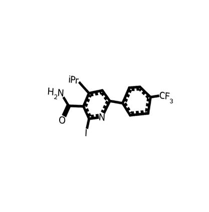 CC(C)c1cc(-c2ccc(C(F)(F)F)cc2)nc(I)c1C(N)=O